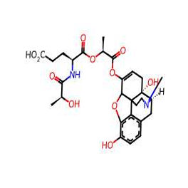 C[C@H](O)C(=O)N[C@@H](CCC(=O)O)C(=O)O[C@@H](C)C(=O)OC1=CC[C@@]2(O)[C@H]3Cc4ccc(O)c5c4C2(CCN3C)C1O5